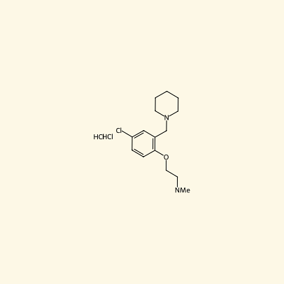 CNCCOc1ccc(Cl)cc1CN1CCCCC1.Cl.Cl